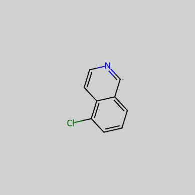 Clc1cccc2[c]nccc12